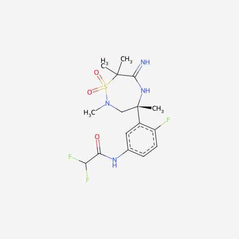 CN1C[C@@](C)(c2cc(NC(=O)C(F)F)ccc2F)NC(=N)C(C)(C)S1(=O)=O